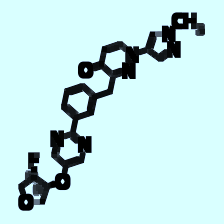 Cn1cc(-n2ccc(=O)c(Cc3cccc(-c4ncc(O[C@H]5COC[C@H]5F)cn4)c3)n2)cn1